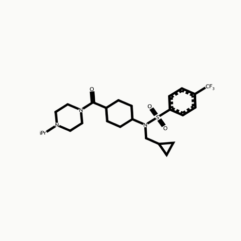 CC(C)N1CCN(C(=O)C2CCC(N(CC3CC3)S(=O)(=O)c3ccc(C(F)(F)F)cc3)CC2)CC1